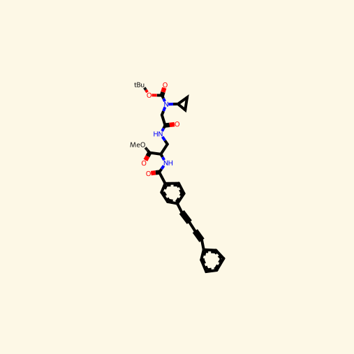 COC(=O)C(CNC(=O)CN(C(=O)OC(C)(C)C)C1CC1)NC(=O)c1ccc(C#CC#Cc2ccccc2)cc1